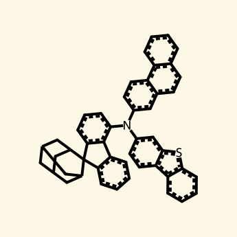 c1ccc2c(c1)-c1c(N(c3ccc4c(ccc5ccccc54)c3)c3ccc4c(c3)sc3ccccc34)cccc1C21C2CC3CC(C2)CC1C3